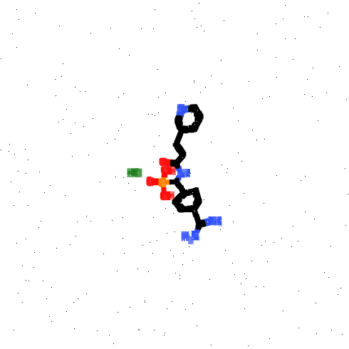 Cl.N=C(N)c1ccc(C(NC(=O)/C=C/c2cccnc2)P(=O)(O)O)cc1